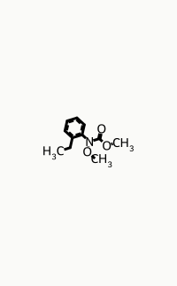 CCc1ccccc1N(OC)C(=O)OC